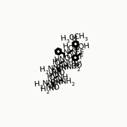 CN(C)c1ccc(CN(c2ccc([N+](=O)[O-])cc2C(F)(F)F)C(O)C(=O)NC(C(=O)NC(NC(=N)N)C(=O)NC(NC(=N)N)C(=O)NC(NC(=N)N)C(=O)NC(NC(=N)N)C(N)=O)c2ccccc2)c(O)c1